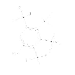 Oc1cc(C(F)(F)F)c(C(F)(F)F)c(C(F)(F)F)c1C(F)(F)F